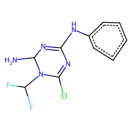 NC1N=C(Nc2ccccc2)N=C(Cl)N1C(F)F